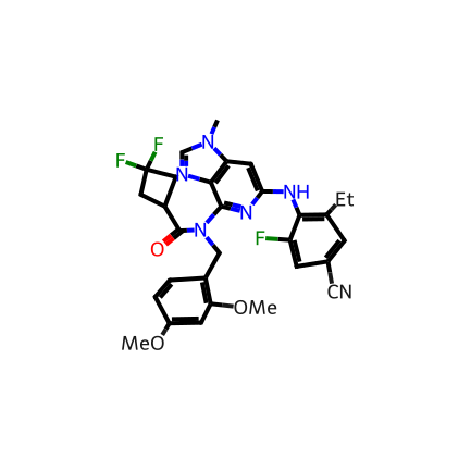 CCc1cc(C#N)cc(F)c1Nc1cc2c(ncn2C)c(N(Cc2ccc(OC)cc2OC)C(=O)C2CC(F)(F)C2)n1